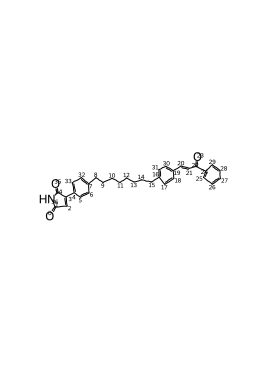 O=C1C=C(c2ccc(CCCCCCCCc3ccc(C=CC(=O)c4ccccc4)cc3)cc2)C(=O)N1